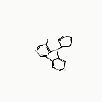 Cc1cncc2c3ccccc3n(-c3ccccc3)c12